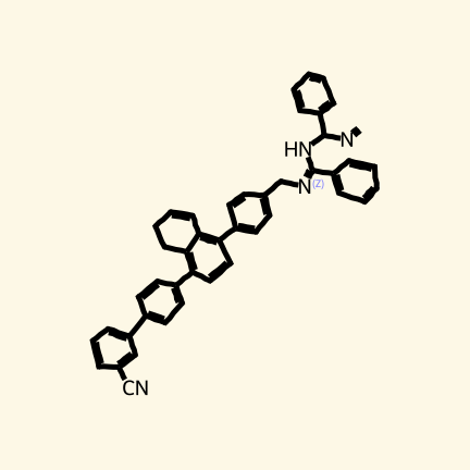 C=NC(N/C(=N\Cc1ccc(-c2ccc(-c3ccc(-c4cccc(C#N)c4)cc3)c3c2C=CCC3)cc1)c1ccccc1)c1ccccc1